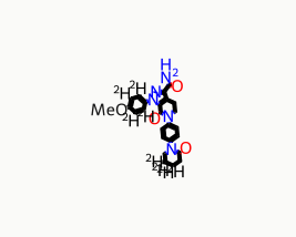 [2H]c1c([2H])c(-n2nc(C(N)=O)c3c2C(=O)N(c2ccc(N4CC([2H])([2H])C([2H])([2H])CC4=O)cc2)CC3)c([2H])c([2H])c1OC